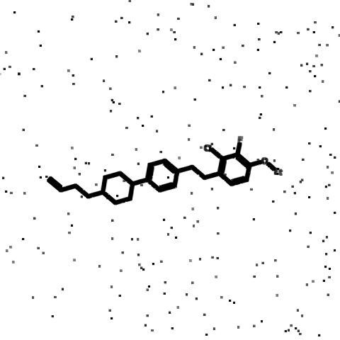 C=CCCC1CCC(c2ccc(CCc3ccc(OCC)c(F)c3Cl)cc2)CC1